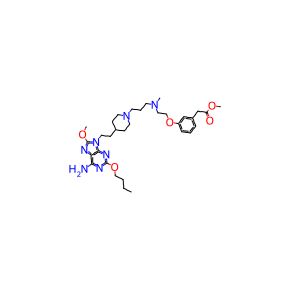 CCCCOc1nc(N)c2nc(OC)n(CCC3CCN(CCCN(C)CCOc4cccc(CC(=O)OC)c4)CC3)c2n1